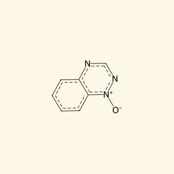 [O-][n+]1ncnc2ccccc21